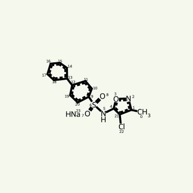 Cc1noc(NS(=O)(=O)c2ccc(-c3ccccc3)cc2)c1Cl.[NaH]